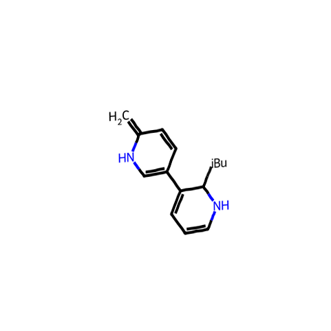 C=C1C=CC(C2=CC=CNC2C(C)CC)=CN1